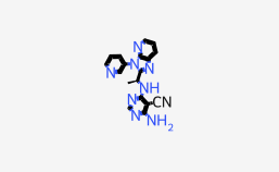 C[C@H](Nc1ncnc(N)c1C#N)c1nc2cccnc2n1-c1cccnc1